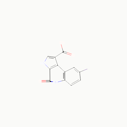 O=C(O)c1c[nH]c2c(=O)[nH]c3ccc(I)cc3c12